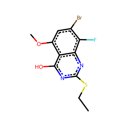 CCSc1nc(O)c2c(OC)cc(Br)c(F)c2n1